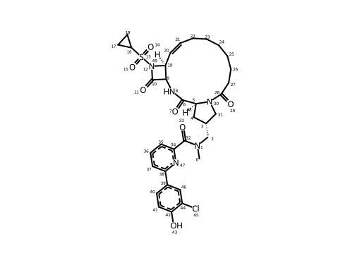 CN(C[C@@H]1C[C@H]2C(=O)NC3C(=O)N(S(=O)(=O)C4CC4)[C@H]3/C=C\CCCCCCC(=O)N2C1)C(=O)c1cccc(-c2ccc(O)c(Cl)c2)n1